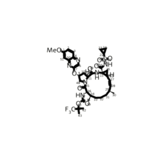 COc1ccc2ncc(O[C@@H]3C[C@H]4C(=O)N[C@]5(C(=O)NS(=O)(=O)C6CC6)C[C@H]5/C=C\[C@@H](C)CCC[C@@H](C)[C@H](NC(=O)OC(C)(C)C(F)(F)F)C(=O)N4C3)nc2c1